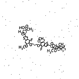 COc1cc2sc(C(=O)CC(C)(C)C(=O)O)cc2c(F)c1OCCCOc1c(OC)cc2sc(C(=O)CC(C)(C)C(=O)OC(C)(C)C)cc2c1F